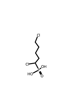 O=P(O)(O)C(Cl)CCCCCl